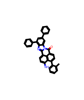 Cc1ccccc1-c1ccc2c(=O)n3c4cc(-c5ccccc5)cc(-c5ccccc5)c4nc3c3ccc(N)c1c23